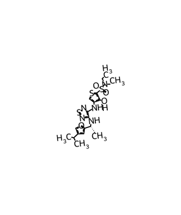 CC[C@@H](Nc1nsnc1Nc1csc(S(=O)(=O)N(CC)CC)c1O)c1cc(C(C)C)co1